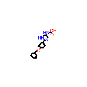 O=C(O)NC1CN=C(c2ccc(OCc3ccccc3)cc2)NC1